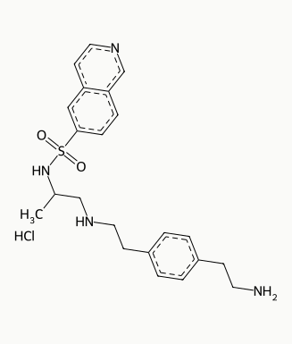 CC(CNCCc1ccc(CCN)cc1)NS(=O)(=O)c1ccc2cnccc2c1.Cl